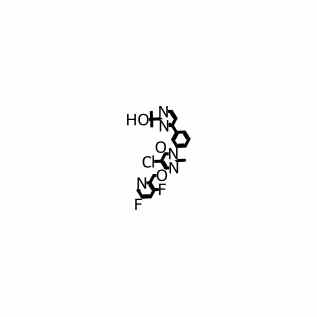 Cc1nc(OCc2ncc(F)cc2F)c(Cl)c(=O)n1-c1cccc(-c2ccnc(C(C)(C)O)n2)c1